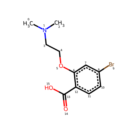 CN(C)CCOc1cc(Br)ccc1C(=O)O